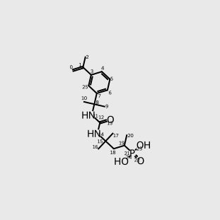 C=C(C)c1cccc(C(C)(C)NC(=O)NC(C)(C)CC(C)P(=O)(O)O)c1